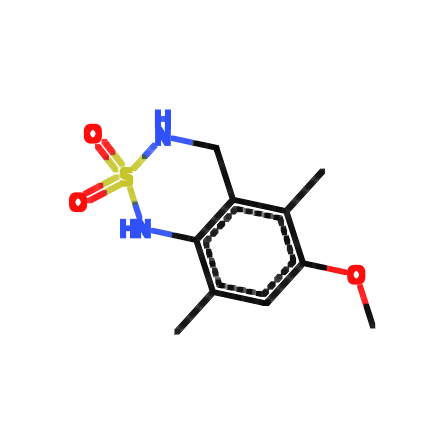 COc1cc(C)c2c(c1C)CNS(=O)(=O)N2